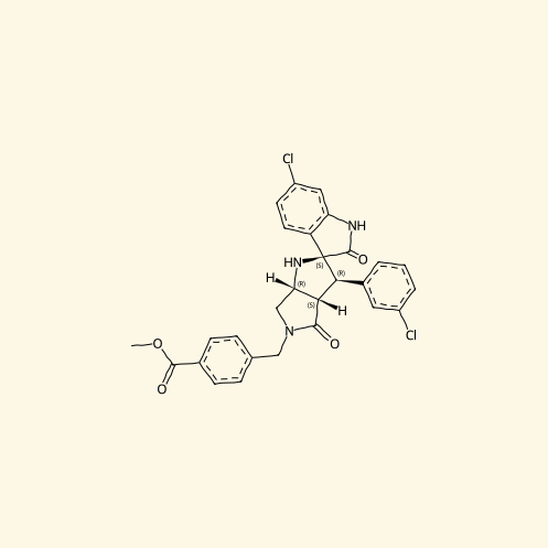 COC(=O)c1ccc(CN2C[C@@H]3N[C@@]4(C(=O)Nc5cc(Cl)ccc54)[C@@H](c4cccc(Cl)c4)[C@@H]3C2=O)cc1